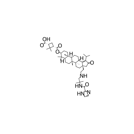 CC(C)C1=C2[C@H]3CC[C@@H]4[C@@]5(C)CC[C@H](OC(=O)[C@H]6C[C@@H](C(=O)O)C6(C)C)C(C)(C)[C@@H]5CC[C@@]4(C)[C@]3(C)CC[C@@]2(CCNCC(C)(C)NC(=O)c2ncc[nH]2)CC1=O